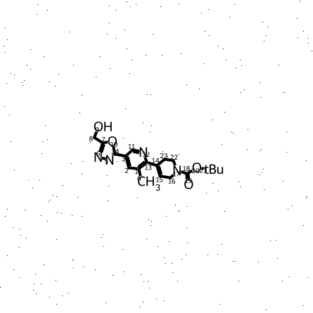 Cc1cc(-c2nnc(CO)o2)cnc1C1=CCN(C(=O)OC(C)(C)C)CC1